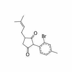 CC(C)=CCC1CC(=O)C(c2ccc(C)cc2Br)C1=O